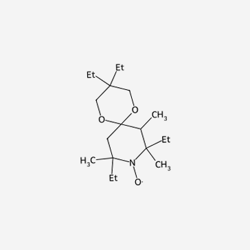 CCC1(CC)COC2(CC(C)(CC)N([O])C(C)(CC)C2C)OC1